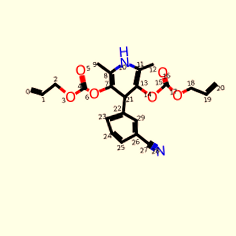 C=CCOC(=O)OC1=C(C)NC(C)=C(OC(=O)OCC=C)C1c1cccc(C#N)c1